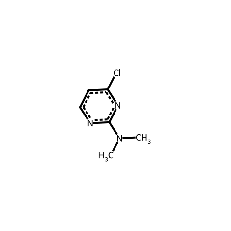 CN(C)c1nccc(Cl)n1